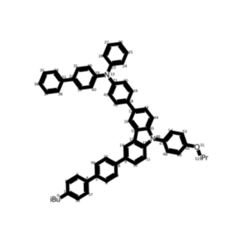 CCC(C)c1ccc(-c2ccc(-c3ccc4c(c3)c3cc(-c5ccc(N(c6ccccc6)c6ccc(-c7ccccc7)cc6)cc5)ccc3n4-c3ccc(OC(C)C)cc3)cc2)cc1